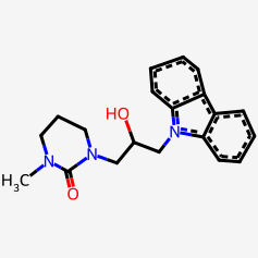 CN1CCCN(CC(O)Cn2c3ccccc3c3ccccc32)C1=O